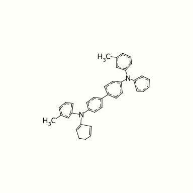 Cc1cccc(N(C2=CCCC=C2)c2ccc(-c3ccc(N(c4ccccc4)c4cccc(C)c4)cc3)cc2)c1